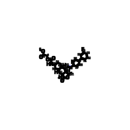 COC(=O)COC(=O)N[C@@H]1CC[C@@H]2[C@@H](C1)C[C@H]1C(=O)O[C@H](C)[C@H]1[C@H]2/C=C/c1ccc(-c2cccc(F)c2)cn1